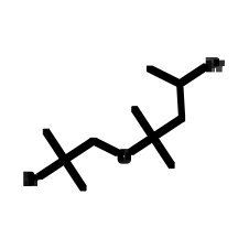 CC(C)C(C)CC(C)(C)OCC(C)(C)Br